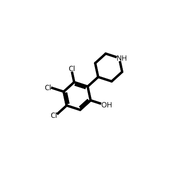 Oc1cc(Cl)c(Cl)c(Cl)c1C1CCNCC1